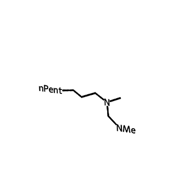 CCCCCCCCN(C)CNC